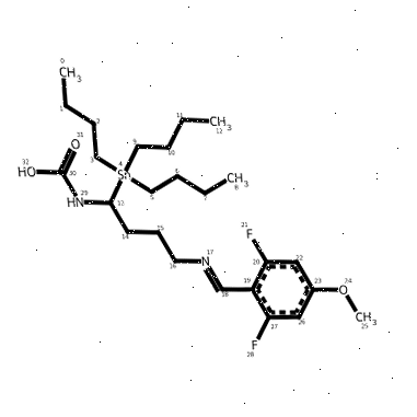 CCC[CH2][Sn]([CH2]CCC)([CH2]CCC)[CH](CCC/N=C/c1c(F)cc(OC)cc1F)NC(=O)O